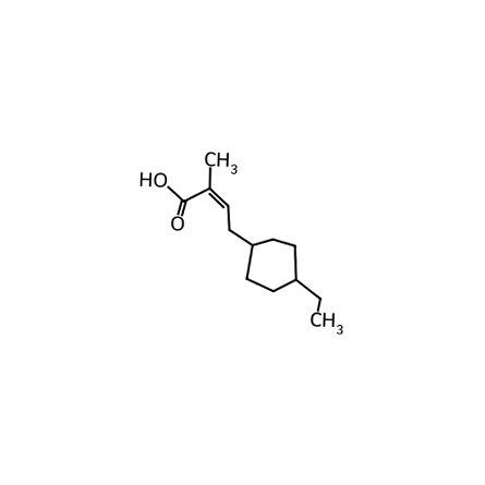 CCC1CCC(CC=C(C)C(=O)O)CC1